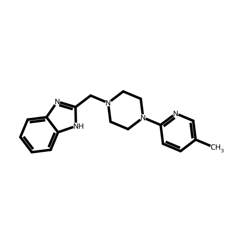 Cc1ccc(N2CCN(Cc3nc4ccccc4[nH]3)CC2)nc1